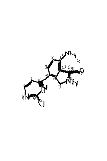 Nc1ccc(-c2ccnc(Cl)n2)c2c1C(=O)NC2